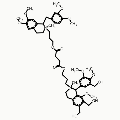 COc1ccc(CC2c3cc(OC)c(OC)cc3CC[N+]2(C)CCCOC(=O)CCC(=O)OCCC[N+]2(C)CCc3cc(CO)c(CO)c(OC)c3C2c2cc(CO)c(OC)c(OC)c2)cc1OC